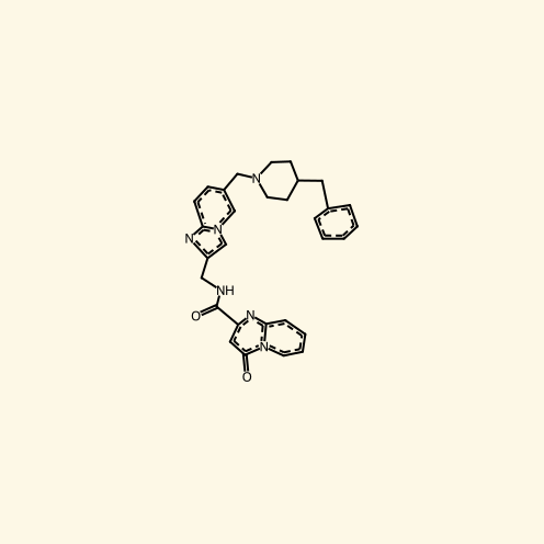 O=C(NCc1cn2cc(CN3CCC(Cc4ccccc4)CC3)ccc2n1)c1cc(=O)n2ccccc2n1